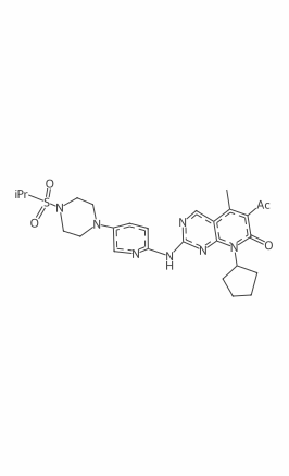 CC(=O)c1c(C)c2cnc(Nc3ccc(N4CCN(S(=O)(=O)C(C)C)CC4)cn3)nc2n(C2CCCC2)c1=O